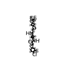 O=C(COc1ccc(Cl)c(F)c1)NC12CC(NCCO[C@H]3C[C@@H](OC(F)(F)F)C3)(C1)C2